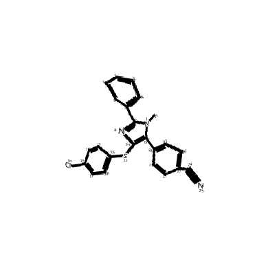 Cn1c(-c2ccccc2)nc(Sc2ccc(Cl)cc2)c1-c1ccc(C#N)cc1